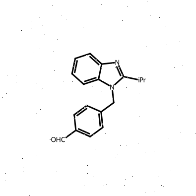 CC(C)c1nc2ccccc2n1Cc1ccc([C]=O)cc1